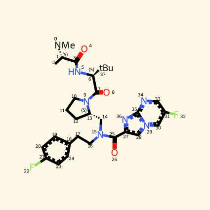 CN[C@@H](C)C(=O)N[C@H](C(=O)N1CCC[C@H]1CN(CCc1ccc(F)cc1)C(=O)c1cn2cc(F)cnc2n1)C(C)(C)C